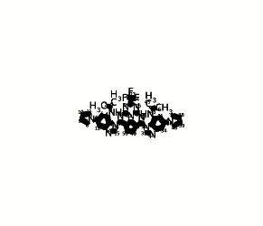 CC(C)Nc1cc(-n2cccc2)cc2ncn(-c3nc4nc(C(F)(F)F)nc5nc(-n6cnc7cc(-n8cccc8)cc(NC(C)C)c76)c6ccc3c6n45)c12